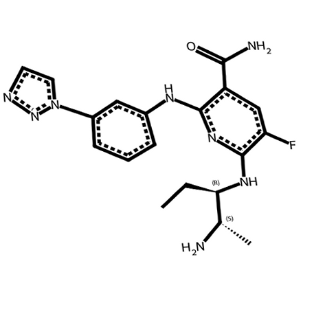 CC[C@@H](Nc1nc(Nc2cccc(-n3ccnn3)c2)c(C(N)=O)cc1F)[C@H](C)N